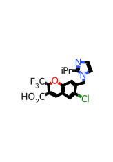 CC(C)c1nccn1Cc1cc2c(cc1Cl)C=C(C(=O)O)C(C(F)(F)F)O2